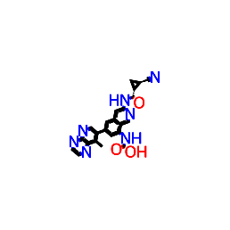 Cc1c(-c2cc(NC(=O)O)c3cnc(NC(=O)[C@@H]4C[C@H]4C#N)cc3c2)cnc2nccnc12